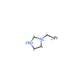 CC(C)CN1[C]NCC1